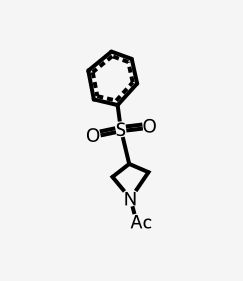 CC(=O)N1CC(S(=O)(=O)c2ccccc2)C1